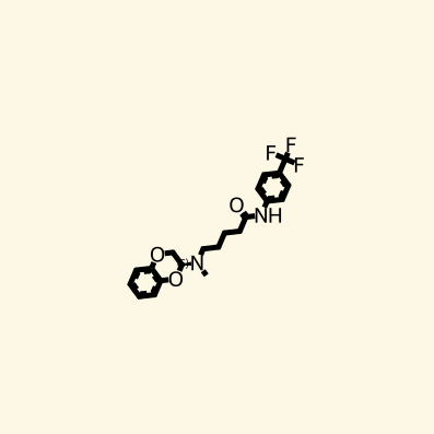 CN(CCCCC(=O)Nc1ccc(C(F)(F)F)cc1)[C@@H]1COc2ccccc2O1